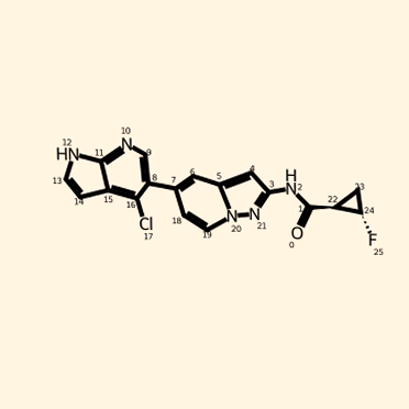 O=C(Nc1cc2cc(-c3cnc4[nH]ccc4c3Cl)ccn2n1)[C@H]1C[C@@H]1F